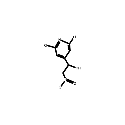 O=[N+]([O-])CC(O)c1cc(Cl)nc(Cl)c1